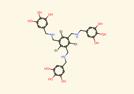 CCc1c(CNCc2cc(O)c(O)c(O)c2)c(CC)c(CNCc2cc(O)c(O)c(O)c2)c(CC)c1CNCc1cc(O)c(O)c(O)c1